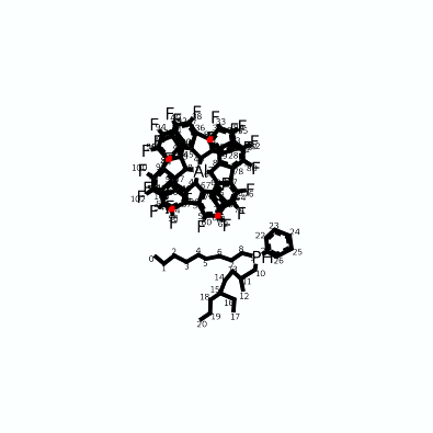 CCCCCCCCC[PH+](CC(C)CCC(CC)CCC)c1ccccc1.Fc1cc2c(c(F)c1F)-c1c(F)c(F)c(F)c(F)c1[CH]2[Al-]([CH]1c2cc(F)c(F)c(F)c2-c2c(F)c(F)c(F)c(F)c21)([CH]1c2cc(F)c(F)c(F)c2-c2c(F)c(F)c(F)c(F)c21)[CH]1c2cc(F)c(F)c(F)c2-c2c(F)c(F)c(F)c(F)c21